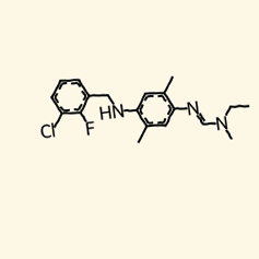 CCN(C)C=Nc1cc(C)c(NCc2cccc(Cl)c2F)cc1C